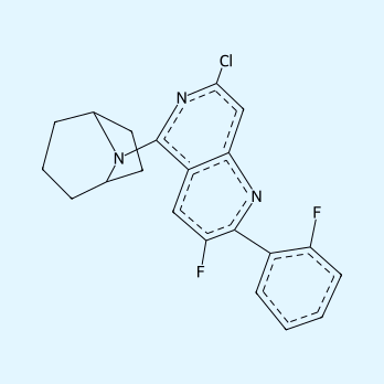 Fc1ccccc1-c1nc2cc(Cl)nc(N3C4CCCC3CC4)c2cc1F